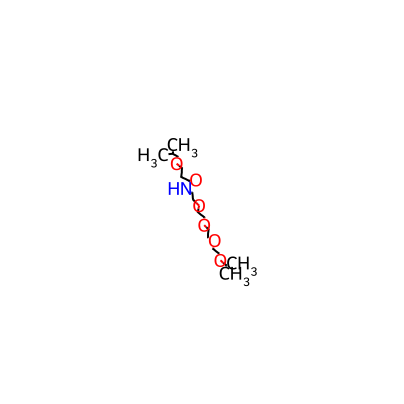 CC(C)COCCC(=O)NCCOCCOCCOCCOC(C)C